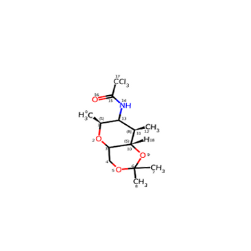 C[C@@H]1OC2COC(C)(C)O[C@H]2[C@H](C)C1NC(=O)C(Cl)(Cl)Cl